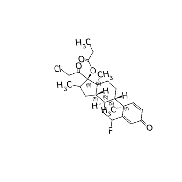 CCC(=O)O[C@]1(C(=O)CCl)C(C)C[C@H]2[C@@H]3CC(F)C4=CC(=O)C=C[C@]4(C)[C@H]3CC[C@@]21C